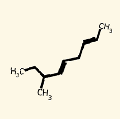 CC=CCC=CC(C)CC